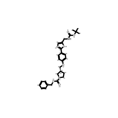 CC(C)(C)OC(=O)NCc1cnc(-c2ccc(OC[C@H]3CCN(C(=O)OCc4ccccc4)C3)cc2)s1